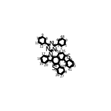 c1ccc(-c2nc(-c3ccccc3)nc(-n3c4ccccc4c4c5sc6ccccc6c5c5c(ccc6sc7ccccc7c65)c43)n2)cc1